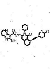 C[C@@H](NC(=O)c1c(N)nn2cccnc12)c1cc2cccc(C#Cc3ccc(=O)n(C)c3)c2c(=O)n1-c1ccccc1